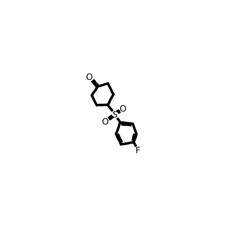 O=C1CCC(S(=O)(=O)c2ccc(F)cc2)CC1